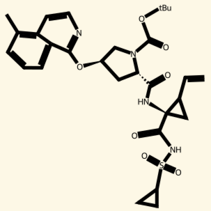 C=CC1C[C@]1(NC(=O)[C@@H]1C[C@@H](Oc2nccc3c(C)cccc23)CN1C(=O)OC(C)(C)C)C(=O)NS(=O)(=O)C1CC1